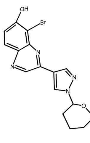 Oc1ccc2ncc(-c3cnn(C4CCCCO4)c3)nc2c1Br